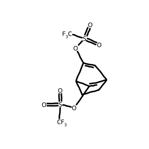 O=S(=O)(OC1=CC2C=C(OS(=O)(=O)C(F)(F)F)C1CC2)C(F)(F)F